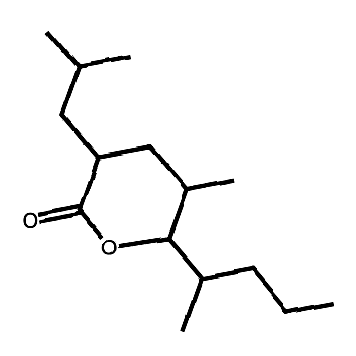 CCCC(C)C1OC(=O)C(CC(C)C)CC1C